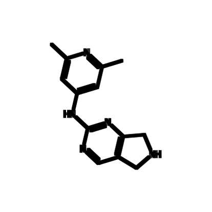 Cc1cc(Nc2ncc3c(n2)CNC3)cc(C)n1